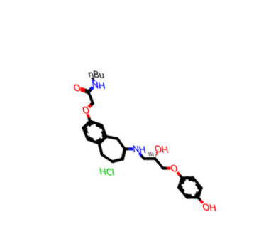 CCCCNC(=O)COc1ccc2c(c1)CC(NC[C@H](O)COc1ccc(O)cc1)CCC2.Cl